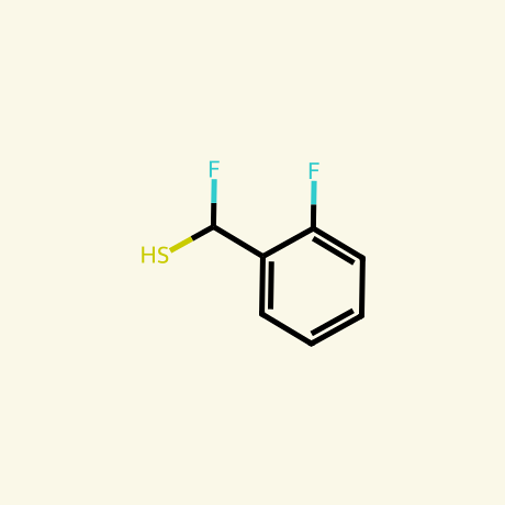 Fc1ccccc1C(F)S